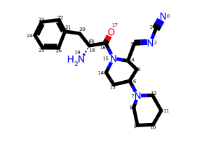 N#CN=CC1CC(N2CCCCC2)CCN1C(=O)[C@H](N)Cc1ccccc1